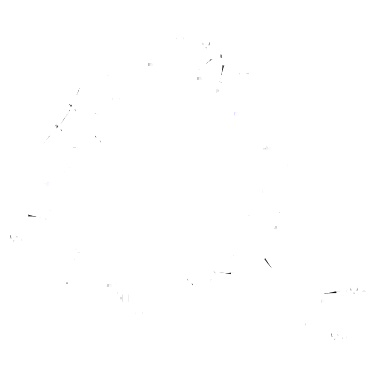 CO[C@H]1C[C@@H]2CC[C@@H](C)[C@@](O)(O2)C(=O)C(=O)N2CCCC[C@H]2C(=O)O[C@H]([C@H](C)C[C@@H]2CC[C@@H](OC)[C@H](OC)C2)CC(=O)[C@H](C)/C=C(\C)[C@@H](O)[C@@H](OC)C(=O)[C@H](C)C[C@H](C)C2C=CC(/C=C/1C)n1c(=O)n(-c3ccccc3)c(=O)n12